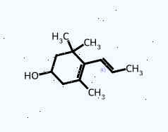 C/C=C/C1=C(C)CC(O)CC1(C)C